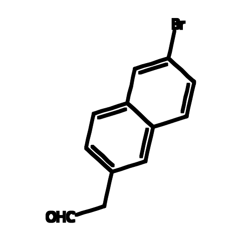 O=CCc1ccc2cc(Br)ccc2c1